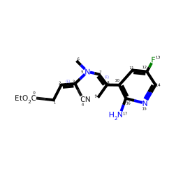 CCOC(=O)C/C=C(\C#N)N(C)/C=C(\C)c1cc(F)cnc1N